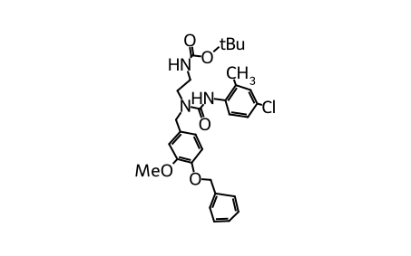 COc1cc(CN(CCNC(=O)OC(C)(C)C)C(=O)Nc2ccc(Cl)cc2C)ccc1OCc1ccccc1